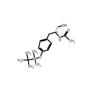 CC(=O)N[C@@H](CO)Cc1ccc(O[Si](C)(C)C(C)(C)C)cc1